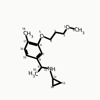 COCCCOc1cc(C(C)NC2CC2)ccc1C